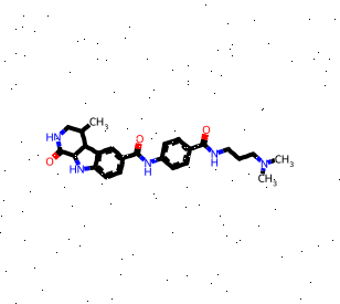 CC1CNC(=O)C2Nc3ccc(C(=O)Nc4ccc(C(=O)NCCCN(C)C)cc4)cc3C12